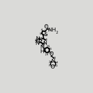 NC(=O)c1ccc(-c2cnc(Nc3ccc(OCCN4CCOCC4)cc3)c3ncnn23)s1